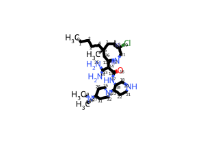 CCCCC[C@]1(C)C/C=C(/Cl)C/N=C(/C(C(=O)NC2CNCCC2N2CCC(N(C)C)CC2)C(N)N)C1